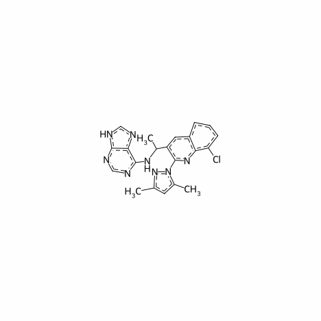 Cc1cc(C)n(-c2nc3c(Cl)cccc3cc2C(C)Nc2ncnc3[nH]cnc23)n1